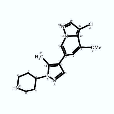 COc1cc(-c2cnn(C3CCNCC3)c2C)cn2ncc(Cl)c12